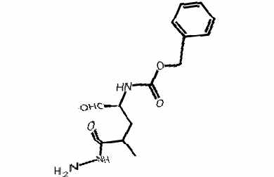 CC(C[C@@H]([C]=O)NC(=O)OCc1ccccc1)C(=O)NN